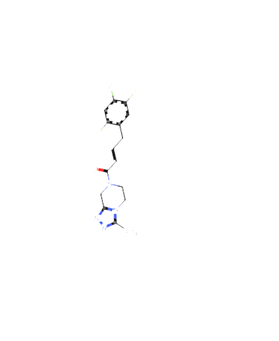 Cc1nnc2n1CCN(C(=O)C=CCc1cc(F)c(F)cc1F)C2